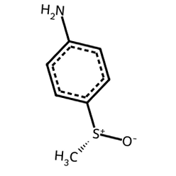 C[S@@+]([O-])c1ccc(N)cc1